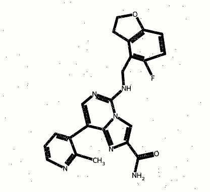 Cc1ncccc1-c1cnc(NCc2c(F)ccc3c2CCO3)n2cc(C(N)=O)nc12